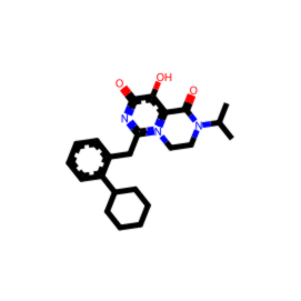 CC(C)N1CCn2c(Cc3ccccc3C3CCCCC3)nc(=O)c(O)c2C1=O